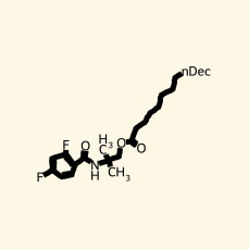 CCCCCCCCCCCCCCCCCC(=O)OCC(C)(C)NC(=O)c1ccc(F)cc1F